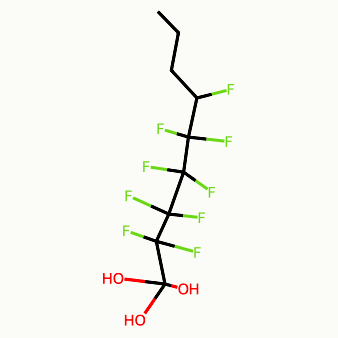 CCCC(F)C(F)(F)C(F)(F)C(F)(F)C(F)(F)C(O)(O)O